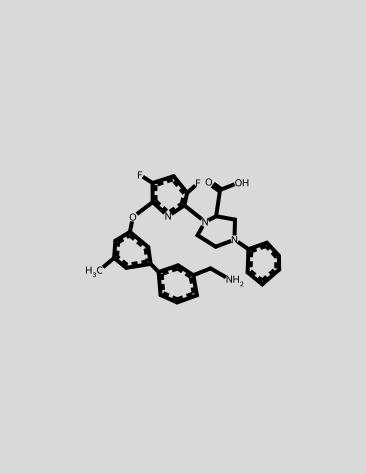 Cc1cc(Oc2nc(N3CCN(c4ccccc4)CC3C(=O)O)c(F)cc2F)cc(-c2cccc(CN)c2)c1